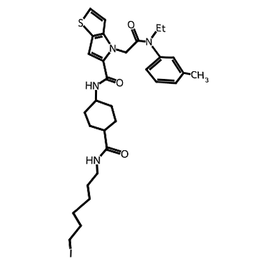 CCN(C(=O)Cn1c(C(=O)NC2CCC(C(=O)NCCCCCCI)CC2)cc2sccc21)c1cccc(C)c1